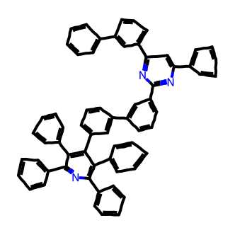 c1ccc(-c2cccc(-c3cc(-c4ccccc4)nc(-c4cccc(-c5cccc(-c6c(-c7ccccc7)c(-c7ccccc7)nc(-c7ccccc7)c6-c6ccccc6)c5)c4)n3)c2)cc1